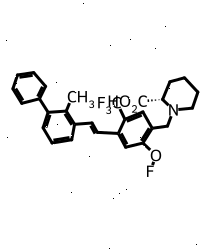 Cc1c(/C=C/c2cc(OF)c(CN3CCCC[C@H]3C(=O)O)cc2C(F)(F)F)cccc1-c1ccccc1